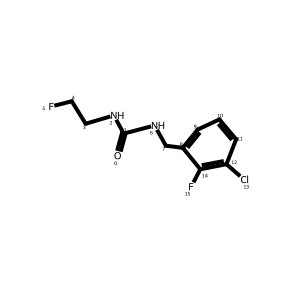 O=C(NCCF)NCc1cccc(Cl)c1F